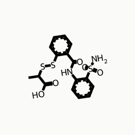 CC(SSc1ccccc1C(=O)Nc1ccccc1S(N)(=O)=O)C(=O)O